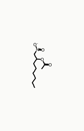 CCCCCCC(C[N+](=O)[O-])OC(C)=O